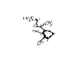 CCOC(C)c1cccc(Cl)c1Cl